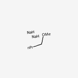 [C]OCCCC.[NaH].[NaH]